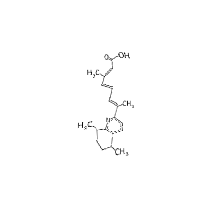 CC(C=CC=C(C)c1ccc2c(n1)C(C)CCC2C)=CC(=O)O